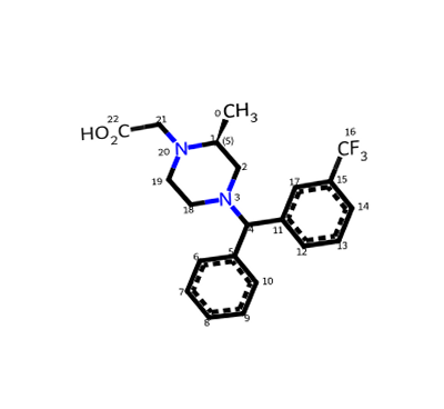 C[C@H]1CN(C(c2ccccc2)c2cccc(C(F)(F)F)c2)CCN1CC(=O)O